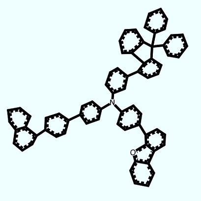 c1ccc(C2(c3ccccc3)c3ccccc3-c3c(-c4cccc(N(c5ccc(-c6ccc(-c7cccc8ccccc78)cc6)cc5)c5ccc(-c6cccc7c6oc6ccccc67)cc5)c4)cccc32)cc1